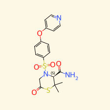 CC1(C)SC(=O)CN(S(=O)(=O)c2ccc(Oc3ccncc3)cc2)[C@H]1C(N)=O